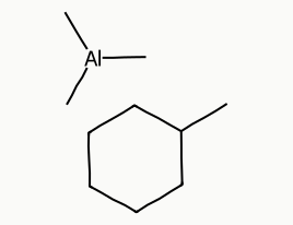 CC1CCCCC1.[CH3][Al]([CH3])[CH3]